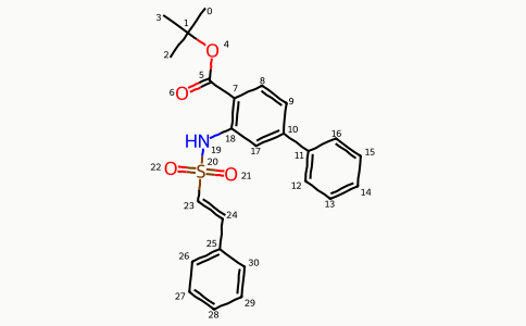 CC(C)(C)OC(=O)c1ccc(-c2ccccc2)cc1NS(=O)(=O)C=Cc1ccccc1